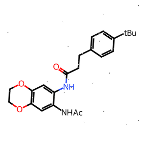 CC(=O)Nc1cc2c(cc1NC(=O)CCc1ccc(C(C)(C)C)cc1)OCCO2